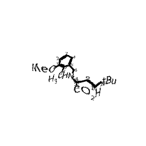 COc1cccc(CN[C@@H](CCC(C)(C)C)C(=O)O)c1C